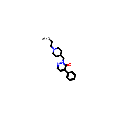 COCCN1CCC(Cn2nccc(-c3ccccc3)c2=O)CC1